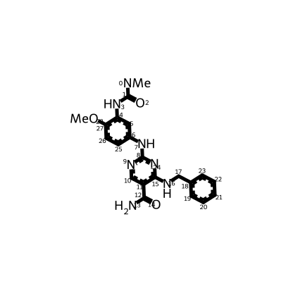 CNC(=O)Nc1cc(Nc2ncc(C(N)=O)c(NCc3ccccc3)n2)ccc1OC